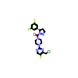 O=C(N1CCN(c2ncc(F)c(CCl)n2)CC1)N1N=CC[C@H]1c1cc(F)cc(F)c1